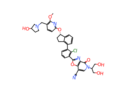 COc1nc(O[C@H]2CCc3c(-c4cccc(-c5nc6c(=O)n(C(CO)CO)cc(C#N)c6o5)c4Cl)cccc32)ccc1CN1CC[C@@H](O)C1